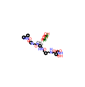 CN(C(=O)CCN1CCC(OC(=O)Nc2ccccc2-c2ccccc2)CC1)c1ccc(CNC(=O)Cc2cccc(CCNC[C@H](O)c3ccc(O)c4[nH]c(=O)ccc34)c2)cc1.O=C(O)C(F)(F)F.O=C(O)C(F)(F)F